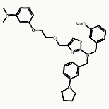 COc1cccc(CN(Cc2cccc(N3CCCC3)c2)c2nc(COCCOc3cccc(N(C)C)c3)cs2)c1